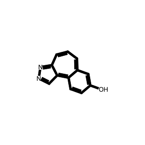 Oc1ccc2c3cnnc-3cccc2c1